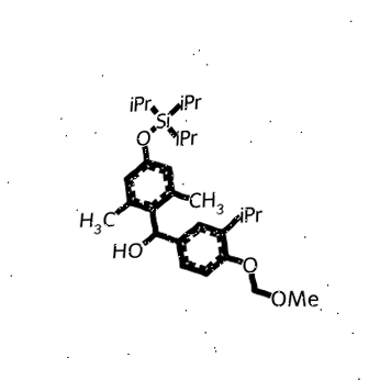 COCOc1ccc(C(O)c2c(C)cc(O[Si](C(C)C)(C(C)C)C(C)C)cc2C)cc1C(C)C